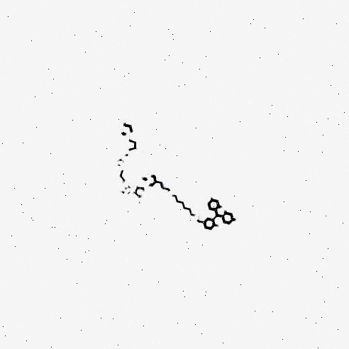 Nc1ccn([C@H]2C[C@@H](O)[C@@H](COP(=O)(O)OCCCOP(=O)(O)O[C@@H]3C[C@H](n4cc(/C=C/C(=O)NCCCCCCNC(=O)c5ccc(C(=O)O)c(-c6c7ccc(=O)cc-7oc7cc(O)ccc67)c5)c(=O)[nH]c4=O)O[C@@H]3CO)O2)c(=O)n1